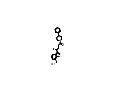 CSc1cccc2c(C(=O)CCC(=O)N3CCC(c4ccccc4)CC3)c[nH]c12